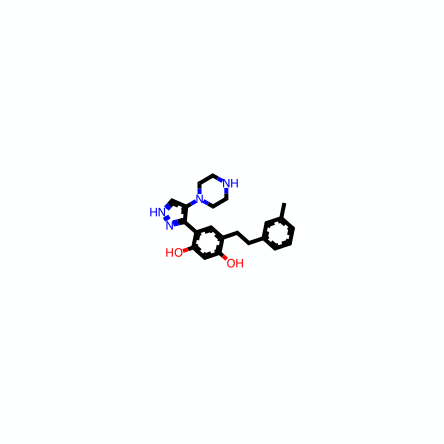 Cc1cccc(CCc2cc(-c3n[nH]cc3N3CCNCC3)c(O)cc2O)c1